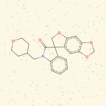 O=C1N(CC2CCOCC2)c2ccccc2C12COc1cc3c(cc12)OCO3